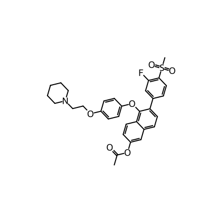 CC(=O)Oc1ccc2c(Oc3ccc(OCCN4CCCCC4)cc3)c(-c3ccc(S(C)(=O)=O)c(F)c3)ccc2c1